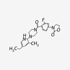 CCC1=CNC(N2CCN(C(=O)c3ccc(N4CCOC4=O)cc3F)CC2)C(C)=C1